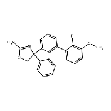 COc1cccc(-c2cccc(C3(c4ccccc4)COC(N)=N3)c2)c1F